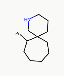 CC(C)C1CCCCCC12CCCNC2